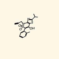 C#CCN1c2nc(C(C)C)sc2C(O)=C(c2ccccc2C)S1(=O)=O